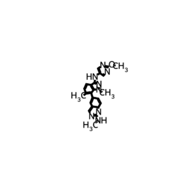 CNc1ncc2cc(-c3c(C)ccc4c(Nc5cnc(OC)nc5)nn(C)c34)ccc2n1